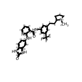 CN1CCCC1CCc1cc(NC(=O)c2cccnc2Nc2ccc3[nH]c(=O)[nH]c3c2)cc(C(F)(F)F)c1